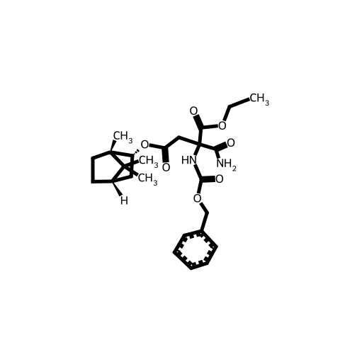 CCOC(=O)C(CC(=O)O[C@@H]1C[C@@H]2CC[C@@]1(C)C2(C)C)(NC(=O)OCc1ccccc1)C(N)=O